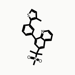 Cc1ccsc1-c1cccc(-c2cc(C(C)(C)S(C)(=O)=O)cc3cccnc23)c1